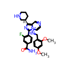 COc1ccc(CN[N+]23C=CN=CC2=C([C@@H]2CCCNC2)N=C3c2ccc(C(N)=O)cc2F)c(OC)c1